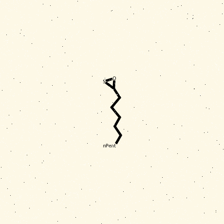 CCCCCCCCCCC1OS1